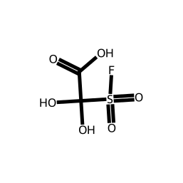 O=C(O)C(O)(O)S(=O)(=O)F